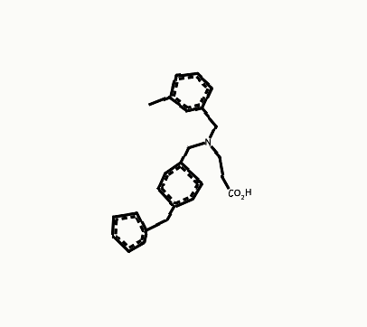 Cc1cccc(CN(CCC(=O)O)Cc2ccc(Cc3ccccc3)cc2)c1